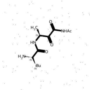 CC[C@H](C)[C@H](N)C(=O)N[C@@H](C)C(=O)C(=O)NC(C)=O